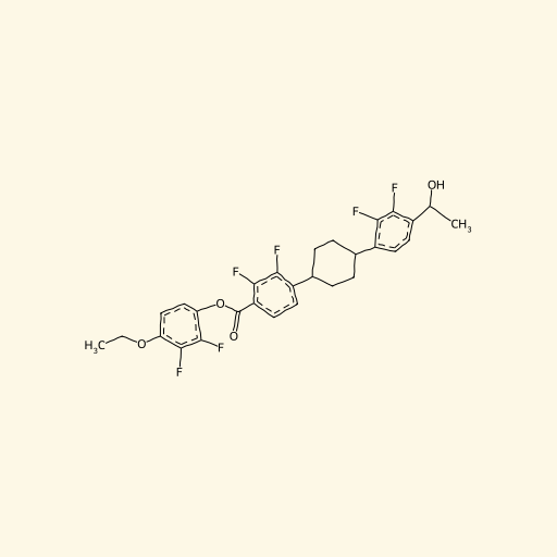 CCOc1ccc(OC(=O)c2ccc(C3CCC(c4ccc(C(C)O)c(F)c4F)CC3)c(F)c2F)c(F)c1F